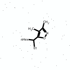 CCCCCCC(CC)c1onc(C)c1C